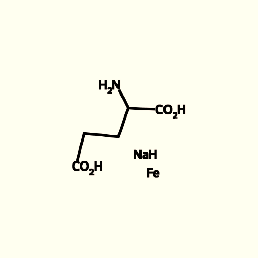 NC(CCC(=O)O)C(=O)O.[Fe].[NaH]